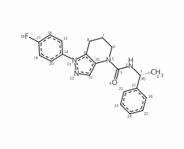 C[C@@H](NC(=O)N1CCCc2c1cnn2-c1ccc(F)cc1)c1ccccc1